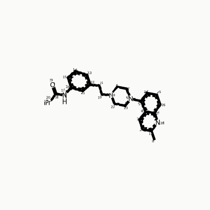 Cc1ccc2c(N3CCN(CCc4cccc(NC(=O)C(C)C)c4)CC3)cccc2n1